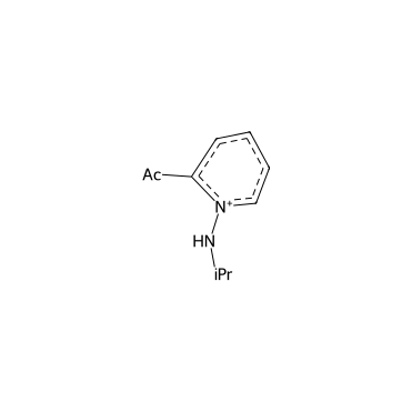 CC(=O)c1cccc[n+]1NC(C)C